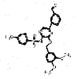 COc1ccc(COc2nc(-c3cccc(C=O)c3)cnc2NS(=O)(=O)c2ccc(C)cc2)cc1OC